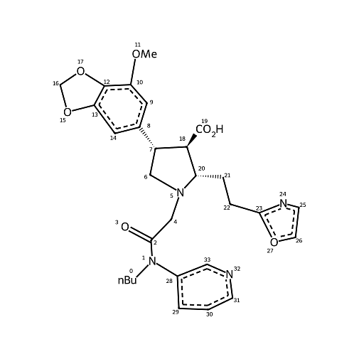 CCCCN(C(=O)CN1C[C@H](c2cc(OC)c3c(c2)OCO3)[C@@H](C(=O)O)[C@@H]1CCc1ncco1)c1cccnc1